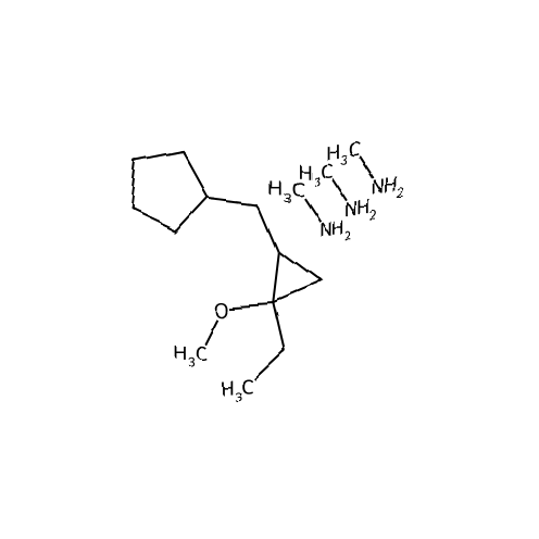 CCC1(OC)CC1CC1CCCC1.CN.CN.CN